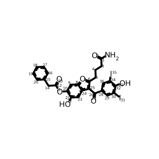 NC(=O)CCCc1oc2cc(OC(=O)Cc3ccccc3)c(O)cc2c1C(=O)c1cc(I)c(O)c(I)c1